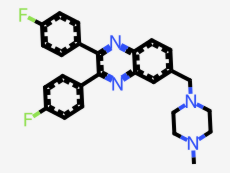 CN1CCN(Cc2ccc3nc(-c4ccc(F)cc4)c(-c4ccc(F)cc4)nc3c2)CC1